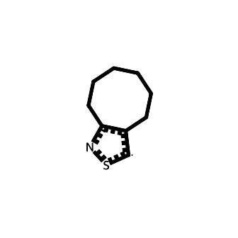 [c]1snc2c1CCCCCC2